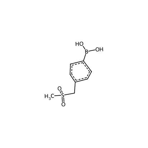 CS(=O)(=O)Cc1ccc(B(O)O)cc1